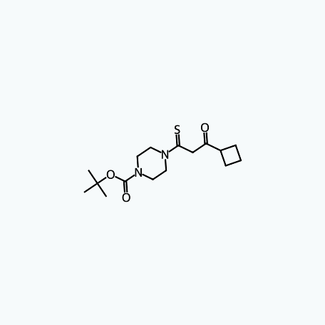 CC(C)(C)OC(=O)N1CCN(C(=S)CC(=O)C2CCC2)CC1